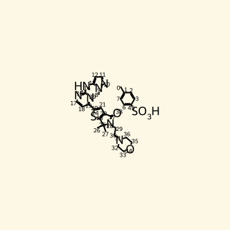 Cc1ccc(S(=O)(=O)O)cc1.Cn1nccc1Nc1nccc(-c2cc3c(s2)C(C)(C)N(CCN2CCOCC2)C3=O)n1